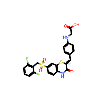 O=C(O)CNc1ccc(/C=C2\Sc3cc(S(=O)(=O)Cc4c(F)cccc4F)ccc3NC2=O)cc1